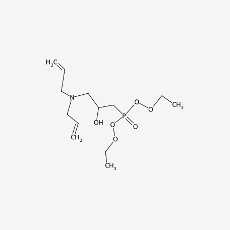 C=CCN(CC=C)CC(O)CP(=O)(OOCC)OOCC